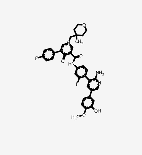 COc1ccc(-c2cnc(N)c(-c3ccc(NC(=O)c4cn(CC5(C)CCOCC5)cc(-c5ccc(F)cc5)c4=O)cc3F)c2)cc1O